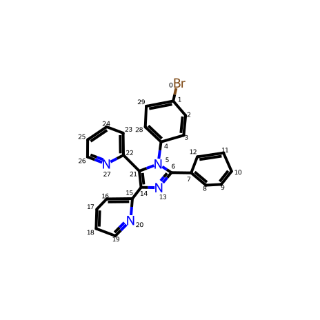 Brc1ccc(-n2c(-c3ccccc3)nc(-c3ccccn3)c2-c2ccccn2)cc1